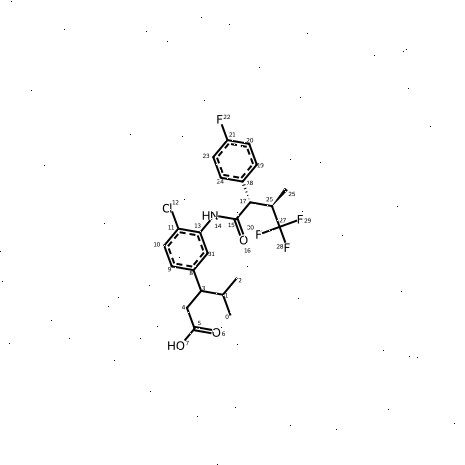 CC(C)C(CC(=O)O)c1ccc(Cl)c(NC(=O)[C@H](c2ccc(F)cc2)[C@@H](C)C(F)(F)F)c1